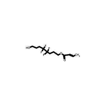 CC=CC(=O)OCCCC(F)(F)C(F)(F)CCCO